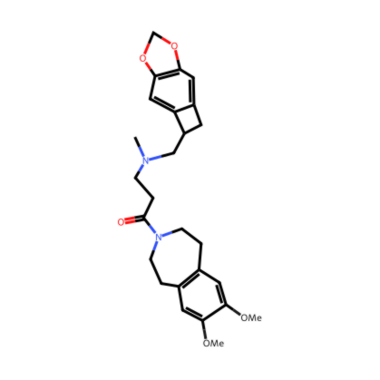 COc1cc2c(cc1OC)CCN(C(=O)CCN(C)CC1Cc3cc4c(cc31)OCO4)CC2